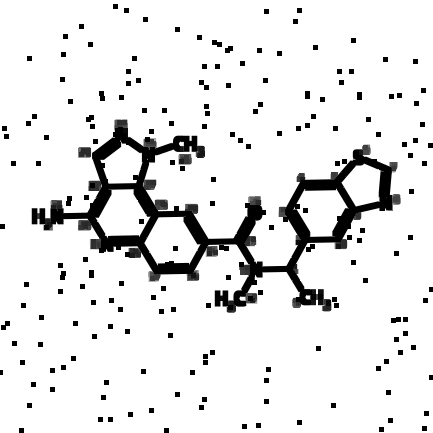 CC(c1ccc2scnc2c1)N(C)C(=O)c1ccc2nc(N)c3cnn(C)c3c2c1